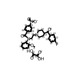 COc1ccccc1N(CCN1CCC(C(=O)c2ccc(F)cc2)CC1)C(=O)c1ccc([N+](=O)[O-])cc1.O=C(O)C(=O)O